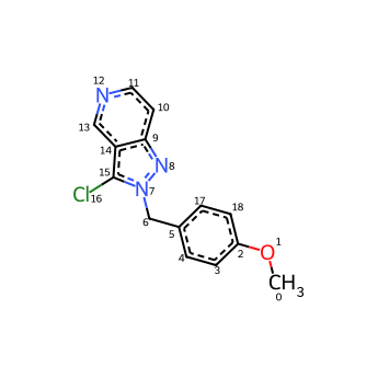 COc1ccc(Cn2nc3ccncc3c2Cl)cc1